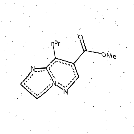 CCCc1c(C(=O)OC)cnn2ccnc12